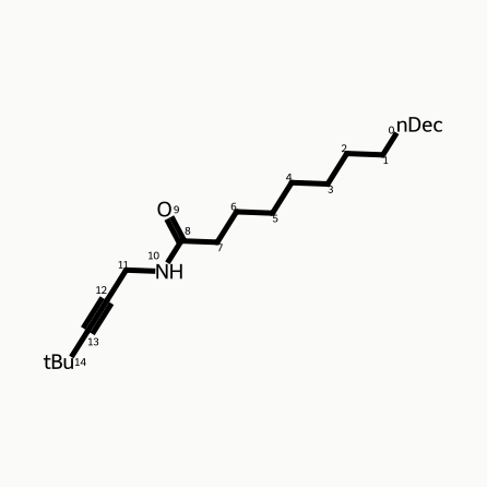 CCCCCCCCCCCCCCCCCC(=O)NCC#CC(C)(C)C